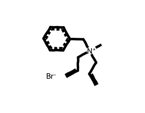 C=CC[N+](C)(CC=C)Cc1ccccc1.[Br-]